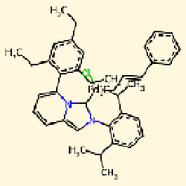 CCc1cc(CC)c(C2=CC=CC3=CN(c4c(C(C)C)cccc4C(C)C)[CH]([Pd-]([Cl])[CH2]C=Cc4ccccc4)N32)c(CC)c1